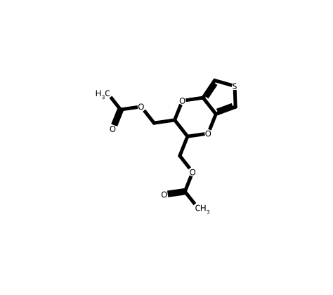 CC(=O)OCC1Oc2cscc2OC1COC(C)=O